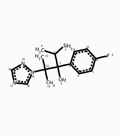 CC([SiH3])C(O)(c1ccc(F)cc1)C(C)(C)n1cncn1